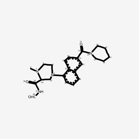 CN1CCN(c2cccc3cc(C(=O)N4CCCCC4)ccc23)CC1C(=O)NC=O